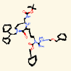 CC(C)(C)OC(=O)NCC1CCN(CC(c2ccccc2)c2ccccc2)C(=O)C(CCCN(C(=N)NCOCc2ccccc2)C(=O)OCc2ccccc2)N1